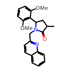 COc1cccc(OC)c1C1CC(C)C(=O)N1Cc1ccc2ccccc2n1